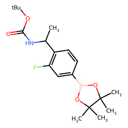 CC(NC(=O)OC(C)(C)C)c1ccc(B2OC(C)(C)C(C)(C)O2)cc1F